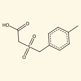 Cc1ccc(CS(=O)(=O)CC(=O)O)cc1